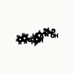 O=C(O)c1csc([C@H]2CC[C@H]3[C@H](CC(F)(F)[C@@H]3COc3ccc4c(c3)CCC4)O2)n1